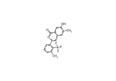 Cc1cc2cc(-c3cccc(C)c3C(F)(F)F)oc(=O)c2cc1O